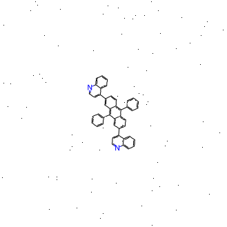 c1ccc(-c2c3ccc(-c4ccnc5ccccc45)cc3c(-c3ccccc3)c3cc(-c4ccnc5ccccc45)ccc23)cc1